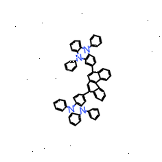 c1ccc(N2c3ccccc3N(c3ccccc3)c3cc(-c4cc5cc(-c6ccc7c(c6)N(c6ccccc6)c6ccccc6N7c6ccccc6)c6ccccc6c5c5ccccc45)ccc32)cc1